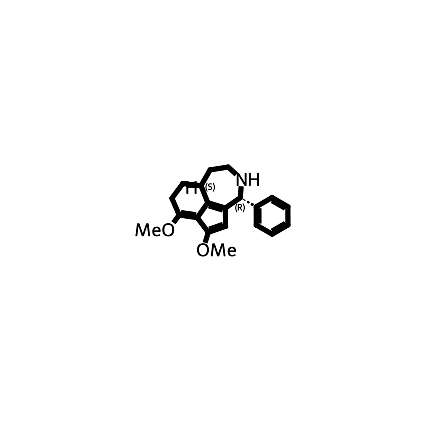 COC1=CC2=C3C1=C(OC)CC[C@H]3CCN[C@@H]2c1ccccc1